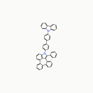 c1ccc(-c2c3c4c(cccc4n2-c2ccc(-c4ccc(-n5c6ccccc6c6ccccc65)cc4)cc2)-c2ccccc2-c2ccccc2-3)cc1